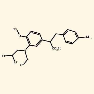 CCCOc1ccc(C(Cc2ccc(N)cc2)C(=O)OCC)cc1N(CC(C)C)CC(CC)CC